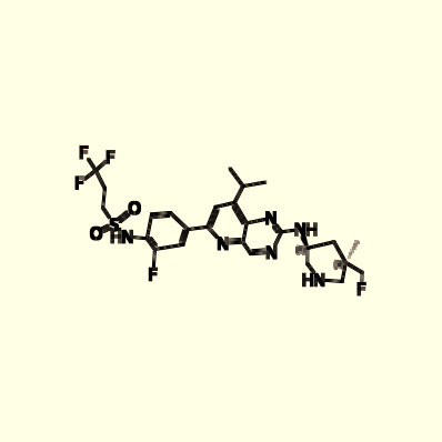 CC(C)c1cc(-c2ccc(NS(=O)(=O)CCC(F)(F)F)c(F)c2)nc2cnc(N[C@@H]3CNC[C@](C)(CF)C3)nc12